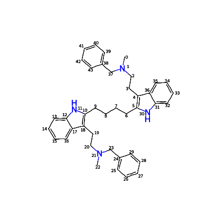 CN(CCc1c(CCCCc2[nH]c3ccccc3c2CCN(C)Cc2ccccc2)[nH]c2ccccc12)Cc1ccccc1